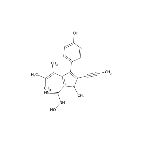 CC#Cc1c(-c2ccc(O)cc2)c(C(C)=C(C)C)c(C(=N)NO)n1C